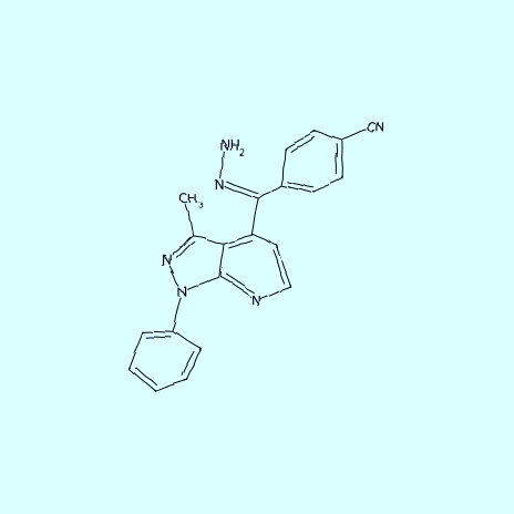 Cc1nn(-c2ccccc2)c2nccc(/C(=N/N)c3ccc(C#N)cc3)c12